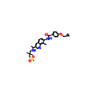 Cc1c(NC(=O)c2ccc(OCC3CC3)cc2)ccc2cc(C(C)NCC(C)(C)CS(C)(=O)=O)cnc12